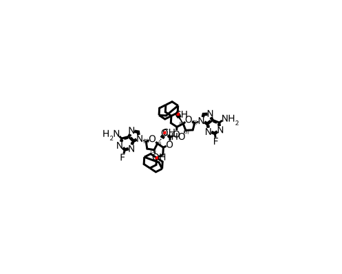 C#C[C@@]1(C(CC23CC4CC(CC(C4)C2)C3)OC(=O)OC(CC23CC4CC(CC(C4)C2)C3)[C@]2(C#C)O[C@@H](n3cnc4c(N)nc(F)nc43)C[C@@H]2O)O[C@@H](n2cnc3c(N)nc(F)nc32)C[C@@H]1O